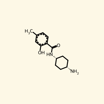 Cc1ccc(C(=O)N[C@H]2CC[C@@H](N)CC2)c(O)c1